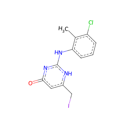 Cc1c(Cl)cccc1Nc1nc(=O)cc(CI)[nH]1